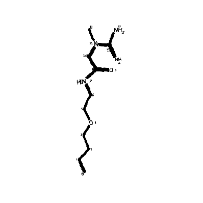 CCCCOCCNC(=O)CN(C)C(=N)N